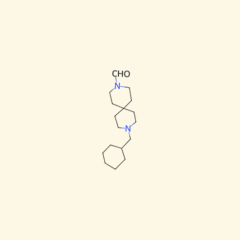 O=CN1CCC2(CC1)CCN(CC1CCCCC1)CC2